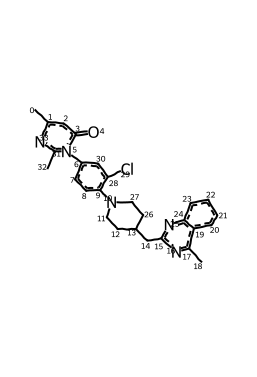 Cc1cc(=O)n(-c2ccc(N3CCC(Cc4nc(C)c5ccccc5n4)CC3)c(Cl)c2)c(C)n1